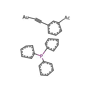 CC(=O)c1cccc(C#[C][Au])c1.c1ccc(P(c2ccccc2)c2ccccc2)cc1